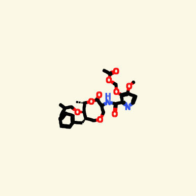 COc1ccnc(C(=O)NC2COC[C@H](Cc3ccccc3)[C@@H](OCC(C)C)[C@H](C)OC2=O)c1OCOC(C)=O